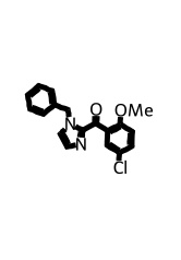 COc1ccc(Cl)cc1C(=O)c1nccn1Cc1ccccc1